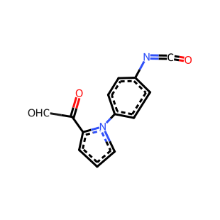 O=C=Nc1ccc(-n2cccc2C(=O)C=O)cc1